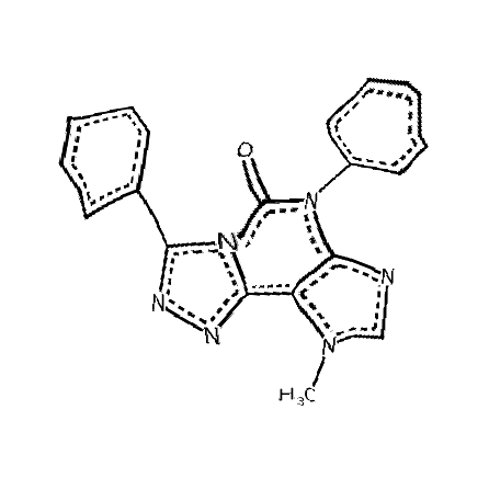 Cn1cnc2c1c1nnc(-c3ccccc3)n1c(=O)n2-c1ccccc1